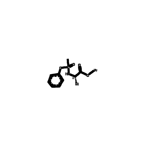 CC[C@H](NP(C)(=O)Oc1ccccc1)C(=O)OC(C)C